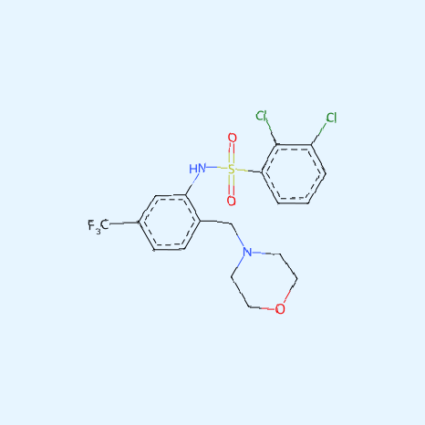 O=S(=O)(Nc1cc(C(F)(F)F)ccc1CN1CCOCC1)c1cccc(Cl)c1Cl